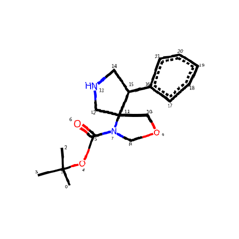 CC(C)(C)OC(=O)N1COCC12CNCC2c1ccccc1